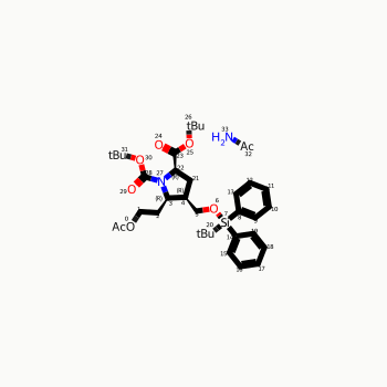 CC(=O)OCC[C@@H]1[C@H](CO[Si](c2ccccc2)(c2ccccc2)C(C)(C)C)C[C@H](C(=O)OC(C)(C)C)N1C(=O)OC(C)(C)C.CC(N)=O